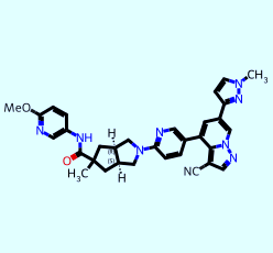 COc1ccc(NC(=O)C2(C)C[C@H]3CN(c4ccc(-c5cc(-c6ccn(C)n6)cn6ncc(C#N)c56)cn4)C[C@H]3C2)cn1